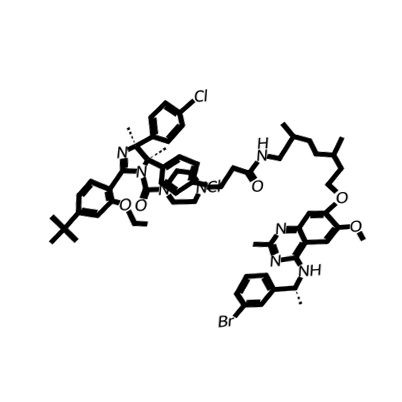 CCOc1cc(C(C)(C)C)ccc1C1=N[C@@](C)(c2ccc(Cl)cc2)[C@@](C)(c2ccc(Cl)cc2)N1C(=O)N1CCN(CCC(=O)NCC(C)CCC(C)CCOc2cc3nc(C)nc(N[C@H](C)c4cccc(Br)c4)c3cc2OC)CC1